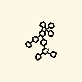 c1ccc(-c2ccc(-c3cc4c(cc3-c3ccc(-c5cc(-c6ccccc6)cc(-c6ccccc6)n5)cc3)C(c3ccccc3)(c3ccccc3)c3ccccc3-4)cc2)cc1